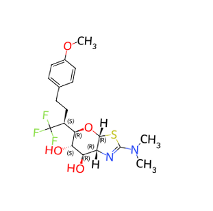 COc1ccc(CC[C@@H]([C@H]2O[C@@H]3SC(N(C)C)=N[C@@H]3[C@@H](O)[C@@H]2O)C(F)(F)F)cc1